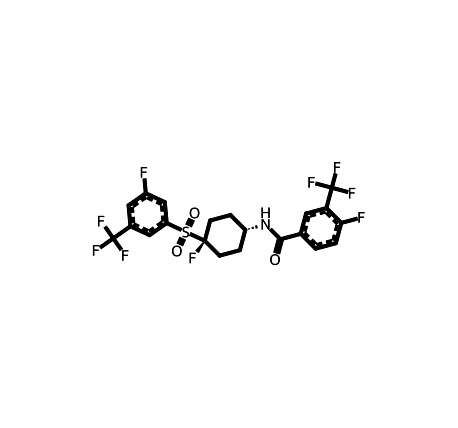 O=C(N[C@H]1CC[C@@](F)(S(=O)(=O)c2cc(F)cc(C(F)(F)F)c2)CC1)c1ccc(F)c(C(F)(F)F)c1